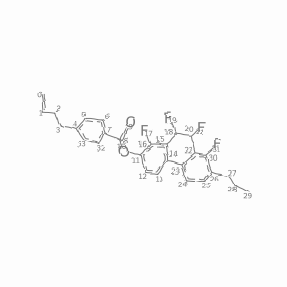 C=CCCc1ccc(C(=O)Oc2ccc3c(c2F)C(F)C(F)c2c-3ccc(CCC)c2F)cc1